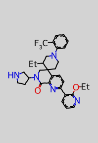 CCOc1ncccc1-c1ccc2c(n1)C(=O)N(C1CCNC1)CC21CCN(c2ccccc2C(F)(F)F)CC1CC